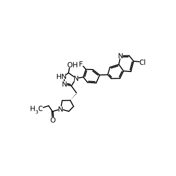 CCC(=O)N1CC[C@@H](CC2=NNC(O)N2c2ccc(-c3ccc4cc(Cl)cnc4c3)cc2F)C1